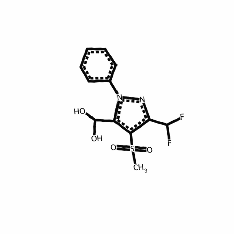 CS(=O)(=O)c1c(C(F)F)nn(-c2ccccc2)c1C(O)O